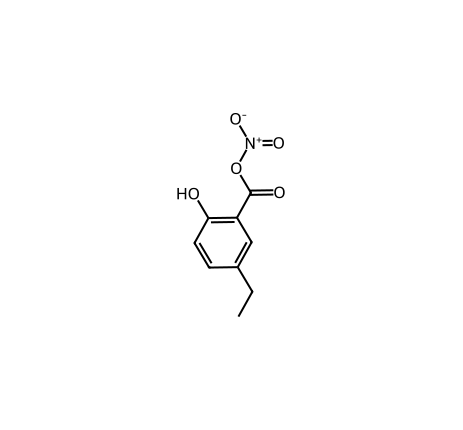 CCc1ccc(O)c(C(=O)O[N+](=O)[O-])c1